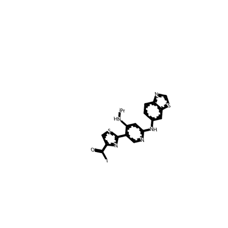 CC(C)Nc1cc(Nc2ccc3ncsc3c2)ncc1-c1nc(C(=O)I)cs1